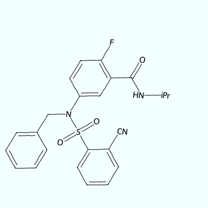 CC(C)NC(=O)c1cc(N(Cc2ccccc2)S(=O)(=O)c2ccccc2C#N)ccc1F